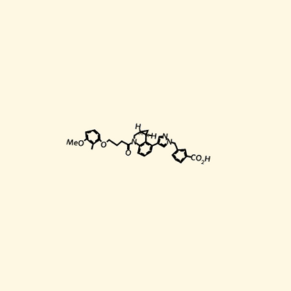 COc1cccc(OCCCC(=O)N2C[C@@H]3C[C@@H]3c3c(-c4cnn(Cc5cccc(C(=O)O)c5)c4)cccc32)c1C